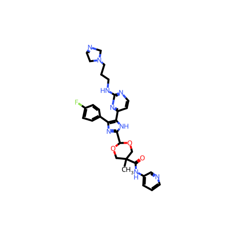 CC1(C(=O)Nc2cccnc2)COC(c2nc(-c3ccc(F)cc3)c(-c3ccnc(NCCCN4CC=NC4)n3)[nH]2)OC1